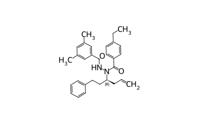 C=CC[C@@H](CCc1ccccc1)N(NC(=O)c1cc(C)cc(C)c1)C(=O)c1ccc(CC)cc1